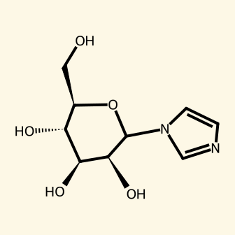 OC[C@H]1OC(n2ccnc2)[C@@H](O)[C@@H](O)[C@@H]1O